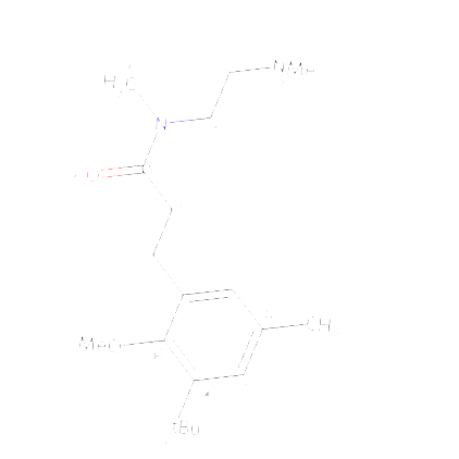 CNCCN(C)C(=O)CCc1cc(C)cc(C(C)(C)C)c1OC